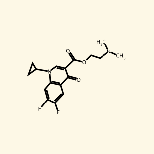 CN(C)CCOC(=O)c1cn(C2CC2)c2cc(F)c(F)cc2c1=O